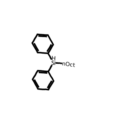 CCCCCCCC[SiH](c1ccccc1)c1ccccc1